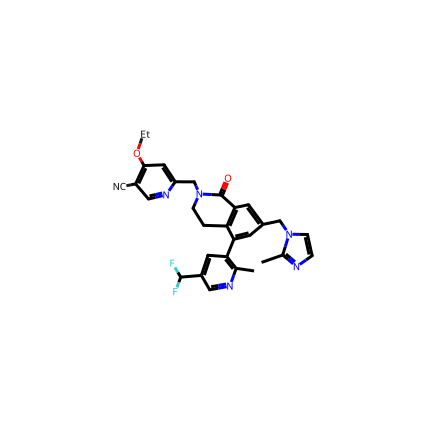 CCOc1cc(CN2CCc3c(cc(Cn4ccnc4C)cc3-c3cc(C(F)F)cnc3C)C2=O)ncc1C#N